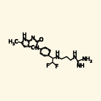 Cc1cc2cn(-c3ccc(C(NCCCNC(=N)N)C(F)F)cc3)c(=O)nc2[nH]1